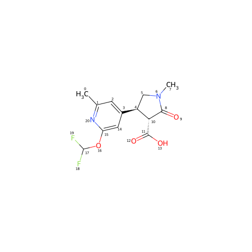 Cc1cc([C@H]2CN(C)C(=O)[C@@H]2C(=O)O)cc(OC(F)F)n1